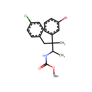 CC(NC(=O)OC(C)(C)C)C(C)(Cc1ccc(Cl)cc1)c1cccc(Br)c1